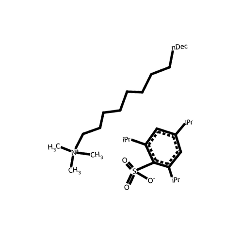 CC(C)c1cc(C(C)C)c(S(=O)(=O)[O-])c(C(C)C)c1.CCCCCCCCCCCCCCCCCC[N+](C)(C)C